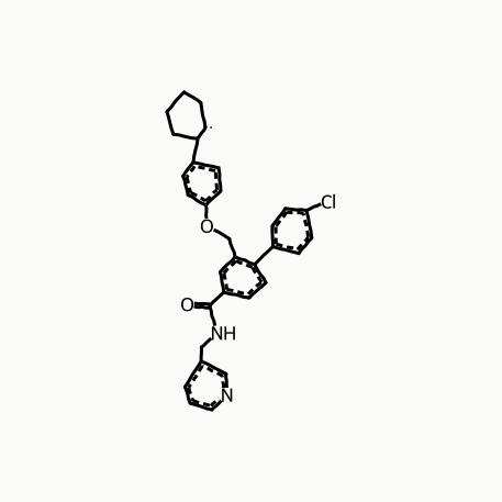 O=C(NCc1cccnc1)c1ccc(-c2ccc(Cl)cc2)c(COc2ccc(C3[CH]CCCC3)cc2)c1